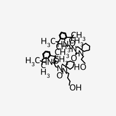 CC(C)c1cccc(C(C)C)c1NC(=O)CN1CC2(CCCCC2)N(CCCCO)C1=O.CC(C)c1cccc(C(C)C)c1NC(=O)CN1CC2(CCCCC2)N(CCCO)C1=O